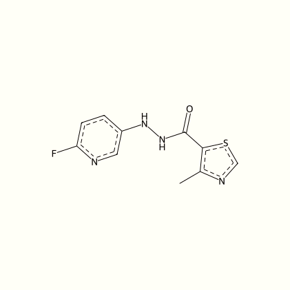 Cc1ncsc1C(=O)NNc1ccc(F)nc1